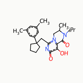 Cc1cc(C)cc(C2(Cc3nc(=O)c(O)c4n3CC(C)N(C(C)C)C4=O)CCCC2)c1